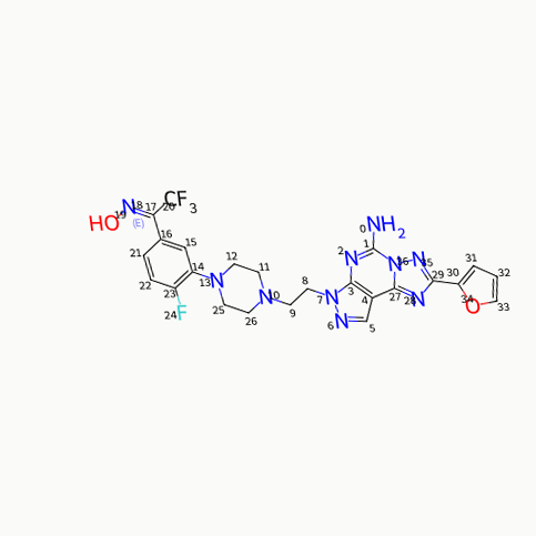 Nc1nc2c(cnn2CCN2CCN(c3cc(/C(=N\O)C(F)(F)F)ccc3F)CC2)c2nc(-c3ccco3)nn12